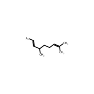 CC(=O)/C=C/C(C)CCC=C(C)C